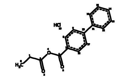 CCC(=O)OC(=O)c1ccc(-c2ccccc2)cc1.Cl